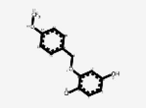 Oc1ccc(Cl)c(OCc2ccc(OC(F)(F)F)cc2)c1